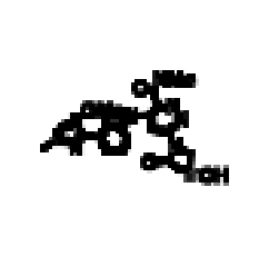 CNC(=O)c1nnc(N2C[C@H](O)CC2=O)cc1Nc1cccc(-c2ncn(C)n2)c1OC